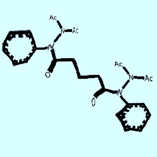 CC(=O)N(C(C)=O)N(C(=O)CCCC(=O)N(c1ccccc1)N(C(C)=O)C(C)=O)c1ccccc1